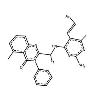 CCC(Nc1nc(N)nc(C)c1/C=C/C(C)=O)c1nc2cccc(C)c2c(=O)n1-c1ccccc1